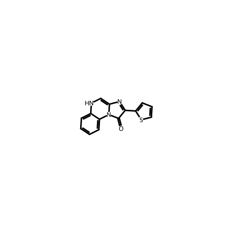 O=c1c(-c2cccs2)nc2c[nH]c3ccccc3n1-2